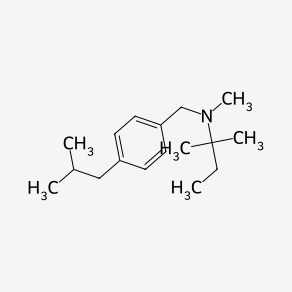 CCC(C)(C)N(C)Cc1ccc(CC(C)C)cc1